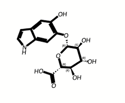 O=C(O)[C@@H]1O[C@H](Oc2cc3[nH]ccc3cc2O)[C@@H](O)[C@H](O)[C@H]1O